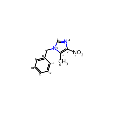 Cc1c([N+](=O)[O-])ncn1Cc1ccccc1